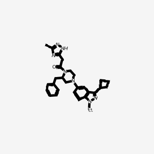 CCn1nc(C2CCC2)c2cc(N3CCN(C(=O)Cc4nc(C)n[nH]4)C(Cc4ccccc4)C3)ccc21